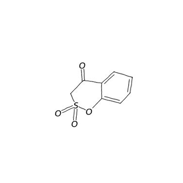 O=C1CS(=O)(=O)Oc2ccccc21